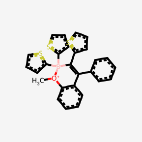 C[O+]1c2ccccc2C(c2ccccc2)=C(c2cccs2)[B-]1(c1cccs1)c1cccs1